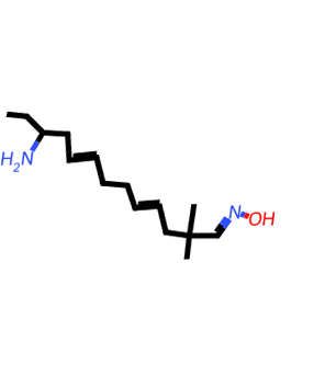 CCC(N)CC=CCCC=CCC(C)(C)C=NO